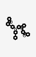 c1ccc(-c2ccc(N(c3ccc(-c4cccc5c4oc4ccccc45)cc3)c3ccc4c5ccccc5n(-c5ccc6oc7ccccc7c6c5)c4c3)cc2)cc1